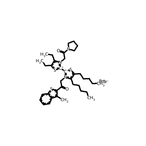 CCCCCc1s[c+](-[c+]2sc(CC)c(CC)n2CC(=O)N2CCCC2)n(CC(=O)c2sc3ccccc3c2C)c1CCCCC.[Br-].[Br-]